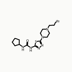 CC(C)CCN1CCN(c2nnc(NC(=O)NC3CCCC3)s2)CC1